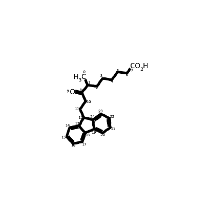 CC(CCCCCC(=O)O)C(=O)CCC1c2ccccc2-c2ccccc21